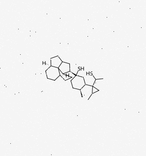 CC(S)C1(C2CC(S)([C@@H]3CC4CC[C@@H]5CCC[C@@H]6CCC3C465)CC[C@@H]2C)CC1C